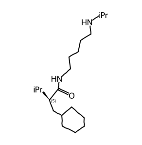 CC(C)NCCCCCNC(=O)[C@@H](CC1CCCCC1)C(C)C